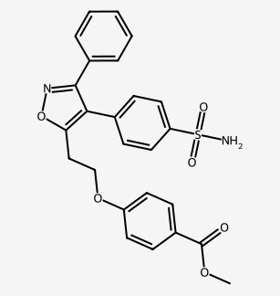 COC(=O)c1ccc(OCCc2onc(-c3ccccc3)c2-c2ccc(S(N)(=O)=O)cc2)cc1